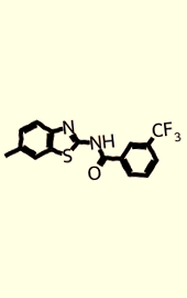 Cc1ccc2nc(NC(=O)c3cccc(C(F)(F)F)c3)sc2c1